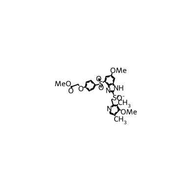 COC(=O)COc1ccc(S(=O)(=O)c2cc(OC)cc3[nH]c([S+]([O-])Cc4ncc(C)c(OC)c4C)nc23)cc1